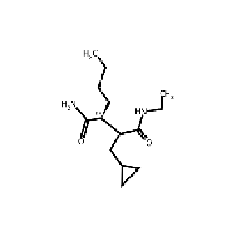 CCCC[C@H](C(N)=O)C(CC1CC1)C(=O)NCC